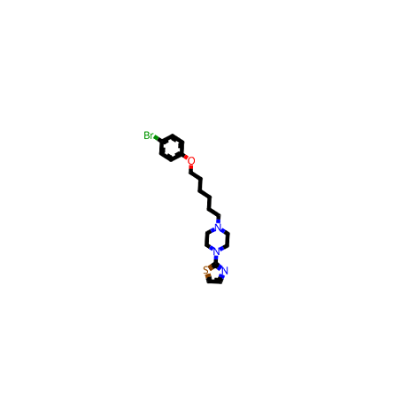 Brc1ccc(OCCCCCCN2CCN(c3nccs3)CC2)cc1